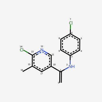 C=C(Nc1ccc(Cl)cc1)c1cnc(Cl)c(C)c1